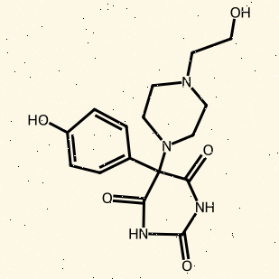 O=C1NC(=O)C(c2ccc(O)cc2)(N2CCN(CCO)CC2)C(=O)N1